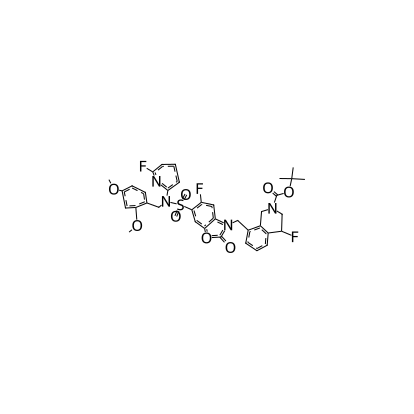 COc1ccc(CN(c2cccc(F)n2)S(=O)(=O)c2cc3oc(=O)n(Cc4cccc5c4CN(C(=O)OC(C)(C)C)CC5F)c3cc2F)c(OC)c1